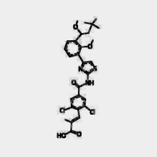 COc1c(-c2csc(NC(=O)c3cc(Cl)c(C=C(C)C(=O)O)c(Cl)c3)n2)cccc1C(CC(C)(C)C)OC